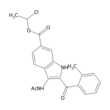 CC(=O)Nc1c(C(=O)c2ccccc2C)[nH]c2cc(C(=O)OC(C)Cl)ccc12